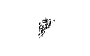 Cc1ccc(S(=O)(=O)n2cc(-c3ncc(F)c(NC4C5CCC(CC5)[C@@H]4C(=O)O)n3)c3cc(F)cnc32)cc1